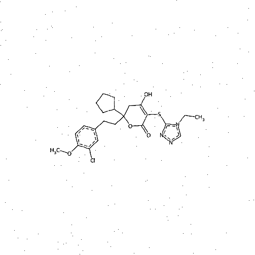 CCn1cnnc1SC1=C(O)CC(CCc2ccc(OC)c(Cl)c2)(C2CCCC2)OC1=O